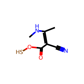 CNC(C)=C(C#N)C(=O)OS